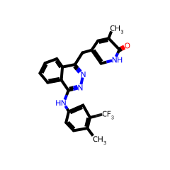 Cc1ccc(Nc2nnc(Cc3c[nH]c(=O)c(C)c3)c3ccccc23)cc1C(F)(F)F